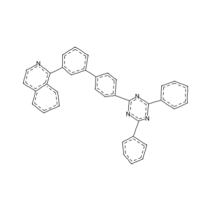 c1ccc(-c2nc(-c3ccccc3)nc(-c3ccc(-c4cccc(-c5nccc6ccccc56)c4)cc3)n2)cc1